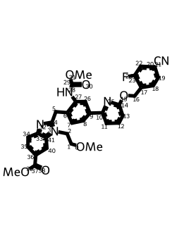 COCCn1c(Cc2ccc(-c3cccc(OCc4ccc(C#N)cc4F)n3)cc2NC(=O)OC)nc2ccc(C(=O)OC)cc21